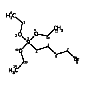 CCO[Si](CCCCBr)(OCC)OCC